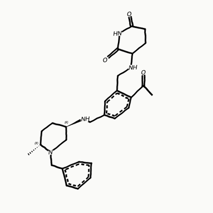 CC(=O)c1ccc(CN[C@@H]2CC[C@@H](C)N(Cc3ccccc3)C2)cc1CNC1CCC(=O)NC1=O